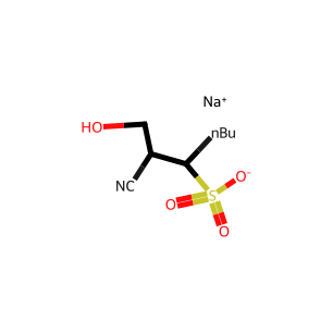 CCCCC(C(C#N)CO)S(=O)(=O)[O-].[Na+]